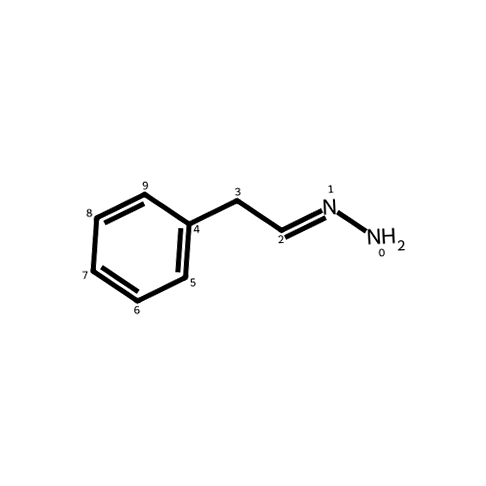 N/N=C/Cc1ccccc1